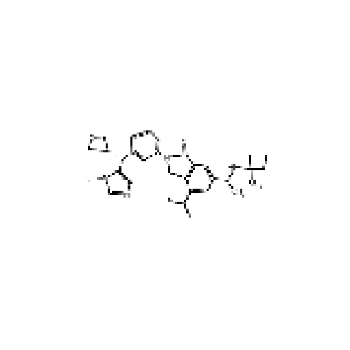 C[C@H](NC1(C)CCC1)c1cc2c(c(C(F)F)c1)CN(c1cccc([C@H](c3nncn3C)C3COC3)c1)C2=O